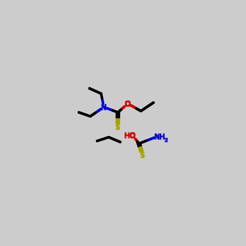 CCC.CCOC(=S)N(CC)CC.NC(O)=S